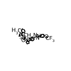 Cc1cccc(C)c1N1CCS/C1=N\C(=O)NC1=C(c2ccc(-c3ncn(-c4ccc(OC(F)(F)F)cc4)n3)cc2)CCC1